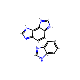 C1=Nc2c3c(ccc2=N1)=NC=N3.c1ccc2[nH]cnc2c1